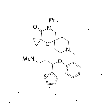 CNCCC(Oc1ccccc1CN1CCC2(CC1)CN(C(C)C)C(=O)C1(CC1)O2)c1cccs1